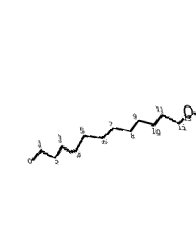 CCCCCCCCCCCC[CH]OC